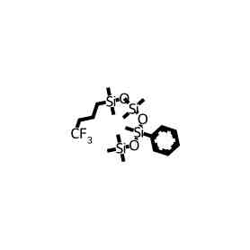 C[Si](C)(C)O[Si](C)(O[Si](C)(C)O[Si](C)(C)CCCC(F)(F)F)c1ccccc1